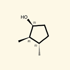 C[C@@H]1[C@@H](C)CC[C@@H]1O